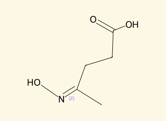 C/C(CCC(=O)O)=N/O